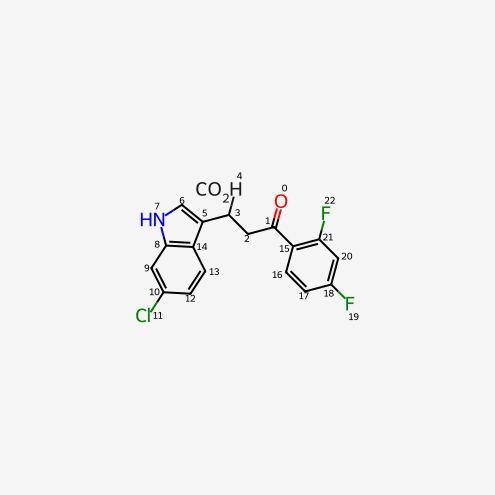 O=C(CC(C(=O)O)c1c[nH]c2cc(Cl)ccc12)c1ccc(F)cc1F